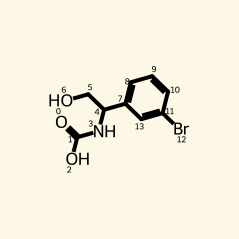 O=C(O)NC(CO)c1cccc(Br)c1